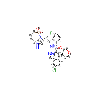 O=C(O)NC(C(=O)Nc1cccc(F)c1CCC1CNC2CCCS(=O)(=O)N1C2)C(c1ccc(Cl)cc1)C1CCOCC1